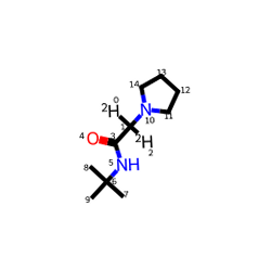 [2H]C([2H])(C(=O)NC(C)(C)C)N1CCCC1